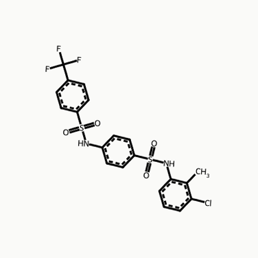 Cc1c(Cl)cccc1NS(=O)(=O)c1ccc(NS(=O)(=O)c2ccc(C(F)(F)F)cc2)cc1